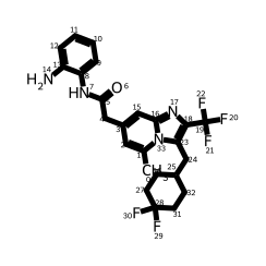 Cc1cc(CC(=O)Nc2ccccc2N)cc2nc(C(F)(F)F)c(CC3CCC(F)(F)CC3)n12